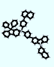 c1ccc(C2(c3ccccc3)c3ccccc3-c3ccc(N(c4ccc(-c5ccc6c(c5)c5ccccc5n6-c5ccc6ccccc6c5)cc4)c4ccc(-c5cccc6ccccc56)cc4)cc32)cc1